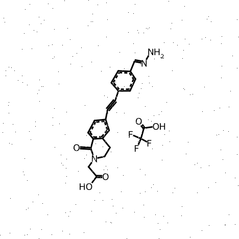 NN=Cc1ccc(C#Cc2ccc3c(c2)CCN(CC(=O)O)C3=O)cc1.O=C(O)C(F)(F)F